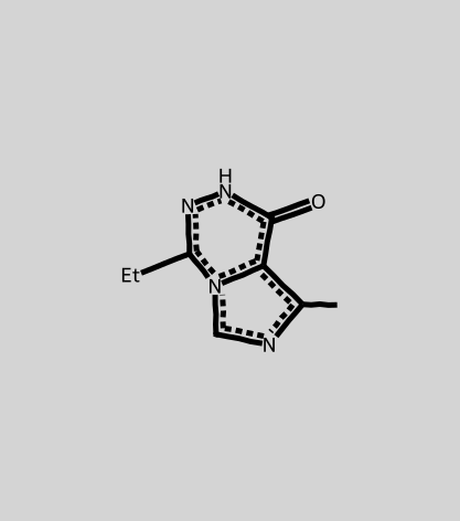 CCc1n[nH]c(=O)c2c(C)ncn12